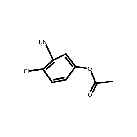 CC(=O)Oc1ccc(Cl)c(N)c1